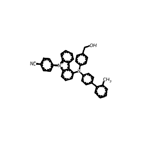 Cc1ccccc1-c1ccc(N(c2ccc(CO)cc2)c2cccc3c2c2ccccc2n3-c2ccc(C#N)cc2)cc1